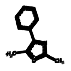 [CH2]c1oc(C)nc1-c1ccccc1